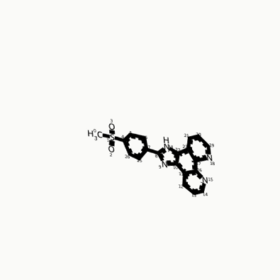 CS(=O)(=O)c1ccc(-c2nc3c4cccnc4c4ncccc4c3[nH]2)cc1